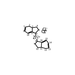 C1=CCC2CC[CH]([Zr+2][CH]3CCC4CC=CC=C43)C2=C1.[Cl-].[Cl-]